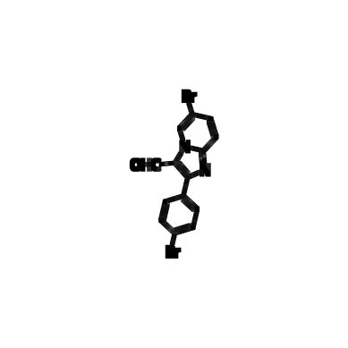 O=Cc1c(-c2ccc(Br)cc2)nc2ccc(Br)cn12